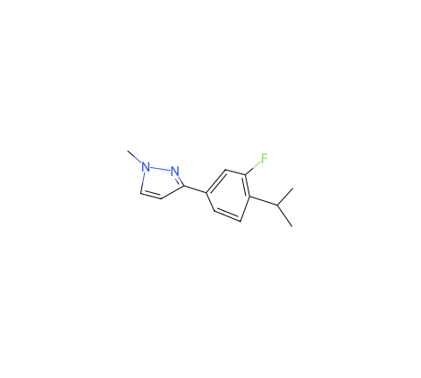 CC(C)c1ccc(-c2ccn(C)n2)cc1F